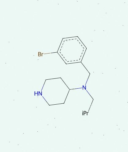 CC(C)CN(Cc1cccc(Br)c1)C1CCNCC1